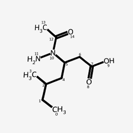 CCC(C)CC(CC(=O)O)N(N)C(C)=O